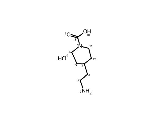 Cl.NCCC1CCN(C(=O)O)CC1